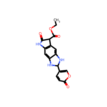 CCOC(=O)C1C(=O)Nc2cc3c(cc21)NC(c1ccc(=O)oc1)N3